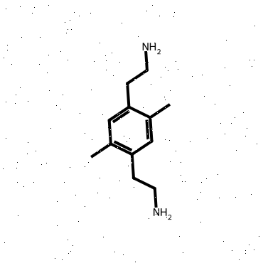 Cc1cc(CCN)c(C)cc1CCN